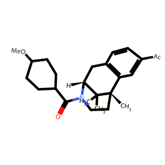 COC1CCC(C(=O)N2CC[C@@]3(C)c4cc(C(C)=O)ccc4C[C@@H]2C3(C)C)CC1